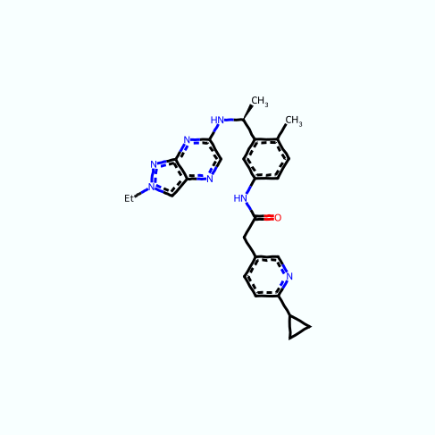 CCn1cc2ncc(N[C@@H](C)c3cc(NC(=O)Cc4ccc(C5CC5)nc4)ccc3C)nc2n1